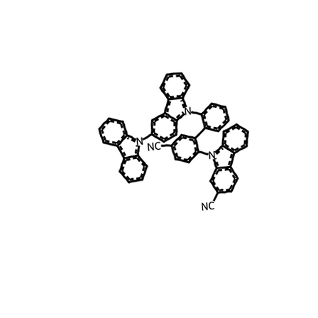 N#Cc1ccc(-n2c3ccccc3c3ccc(C#N)cc32)c(-c2ccccc2-n2c3ccccc3c3cc(-n4c5ccccc5c5ccccc54)ccc32)c1